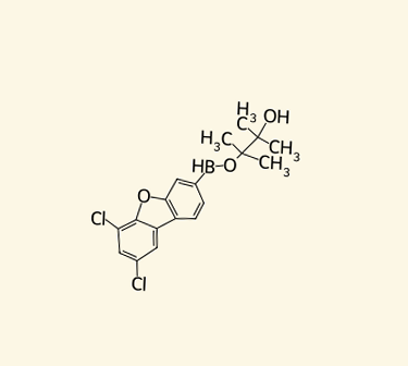 CC(C)(O)C(C)(C)OBc1ccc2c(c1)oc1c(Cl)cc(Cl)cc12